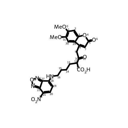 COc1cc2oc(=O)cc(CC(=O)C(CCCCNc3ccc([N+](=O)[O-])c4nonc34)C(=O)O)c2cc1OC